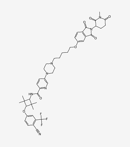 CN1C(=O)CCC(N2C(=O)c3ccc(OCCCCCN4CCN(c5ccc(C(=O)NC6C(C)(C)C(Oc7ccc(C#N)c(C(F)(F)F)c7)C6(C)C)nc5)CC4)cc3C2=O)C1=O